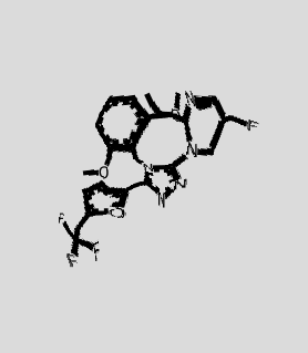 CCC1N=CC(F)=CN1c1nnc(-c2ccc(C(F)(F)F)o2)n1-c1c(OC)cccc1OC